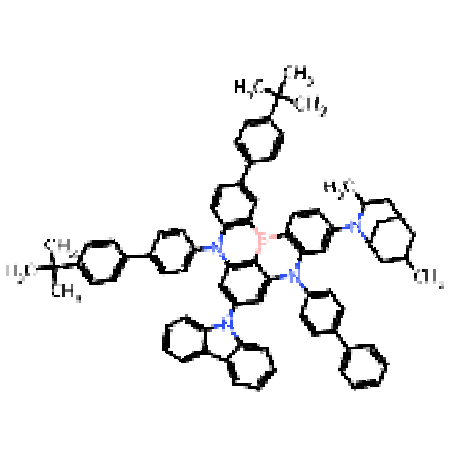 CC1CC2CC(C)N(c3ccc4c(c3)N(c3ccc(-c5ccccc5)cc3)c3cc(-n5c6ccccc6c6ccccc65)cc5c3B4c3cc(-c4ccc(C(C)(C)C)cc4)ccc3N5c3ccc(-c4ccc(C(C)(C)C)cc4)cc3)C(C1)C2